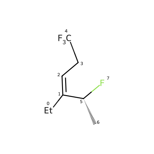 CC/C(=C/CC(F)(F)F)[C@@H](C)F